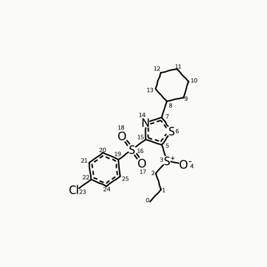 CCC[S+]([O-])c1sc(C2CCCCC2)nc1S(=O)(=O)c1ccc(Cl)cc1